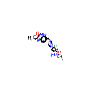 CCc1nc2ccc(CN3CCN(c4ccc(C(=O)NC)nc4Cl)CC3)cc2[nH]c1=O